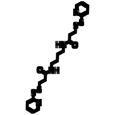 O=C(CCSSc1ccccn1)NCCCCNC(=O)CCSSc1ccccn1